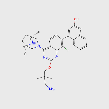 CC(C)(CN)COc1nc(N2C[C@H]3CC[C@@H](C2)N3)c2ccc(-c3cc(O)cc4ccccc34)c(F)c2n1